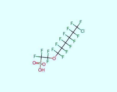 O=S(=O)(O)C(F)(F)C(F)(F)OC(F)(F)C(F)(F)C(F)(F)C(F)(F)C(F)(F)C(F)(F)Cl